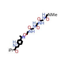 CNCC(=O)NCC(=O)NCC(=O)NCC(=O)NCCO/N=C(\C)c1ccc(C[C@H](N)C(=O)C(C)C)cc1